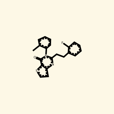 Cc1ccccc1-n1c(CCc2ccccc2F)nc2ccsc2c1=O